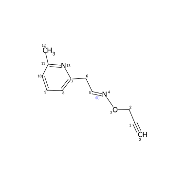 C#CCO/N=C/Cc1cccc(C)n1